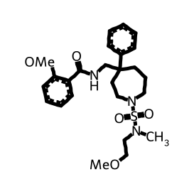 COCCN(C)S(=O)(=O)N1CCCC(CNC(=O)c2ccccc2OC)(c2ccccc2)CC1